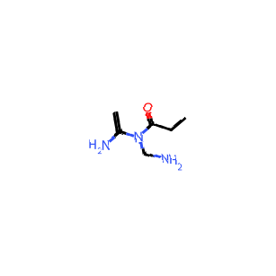 C=C(N)N(CN)C(=O)CC